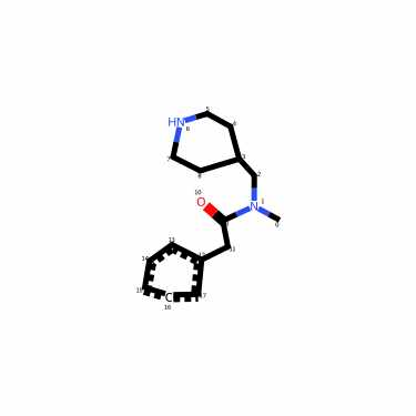 CN(CC1CCNCC1)C(=O)Cc1ccccc1